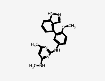 CNc1cc(C)nc(Nc2ccc(OC)c(-c3cccc4[nH]ncc34)c2)n1